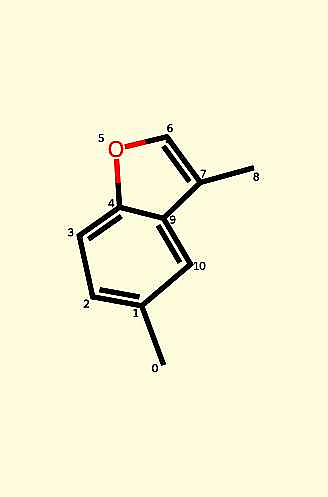 Cc1ccc2o[c]c(C)c2c1